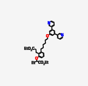 CCOC(=O)CCc1c(CCCCCCOc2cc(-c3cccnc3)cc(-c3cccnc3)c2)cccc1OC(CC)C(=O)OCC